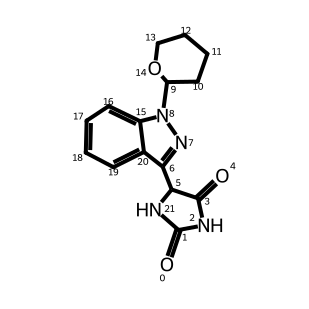 O=C1NC(=O)C(c2nn(C3CCCCO3)c3ccccc23)N1